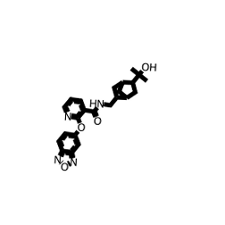 CC(C)(O)C1CC2CC1CC2CNC(=O)c1cccnc1Oc1ccc2nonc2c1